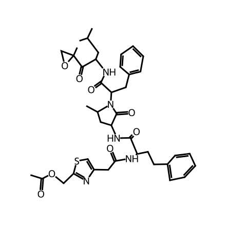 CC(=O)OCc1nc(CC(=O)NC(CCc2ccccc2)C(=O)NC2CC(C)N(C(Cc3ccccc3)C(=O)NC(CC(C)C)C(=O)C3(C)CO3)C2=O)cs1